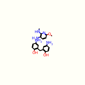 CNc1nc(OC)ccc1N.Nc1ccc(O)c(Cc2cc(N)ccc2O)c1